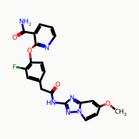 COc1ccn2nc(NC(=O)Cc3ccc(Oc4ncccc4C(N)=O)c(F)c3)nc2c1